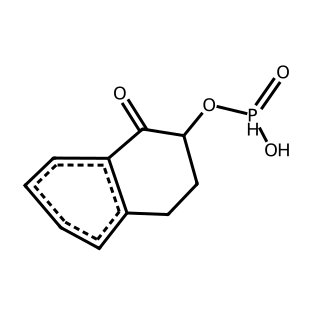 O=C1c2ccccc2CCC1O[PH](=O)O